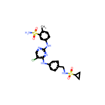 Cc1ccc(Nc2ncc(Cl)c(Nc3ccc(CNS(=O)(=O)C4CC4)cc3)n2)cc1S(N)(=O)=O